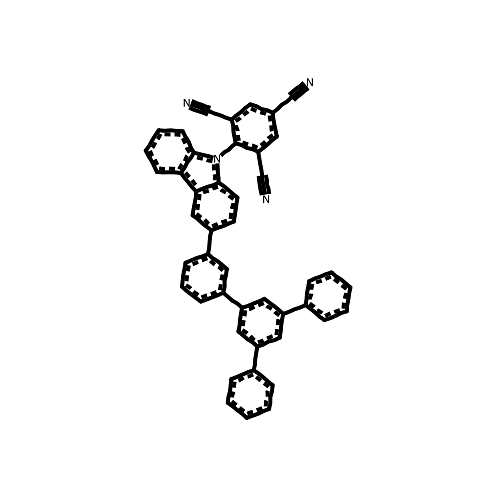 N#Cc1cc(C#N)c(-n2c3ccccc3c3cc(-c4cccc(-c5cc(-c6ccccc6)cc(-c6ccccc6)c5)c4)ccc32)c(C#N)c1